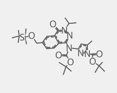 Cc1cc(N(C(=O)OC(C)(C)C)c2nn(C(C)C)c(=O)c3cc(CO[Si](C)(C)C(C)(C)C)ccc23)nn1C(=O)OC(C)(C)C